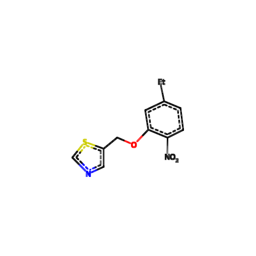 CCc1ccc([N+](=O)[O-])c(OCc2cncs2)c1